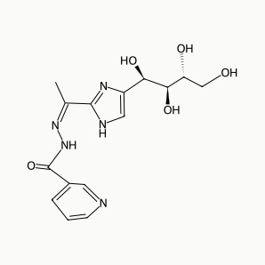 CC(=NNC(=O)c1cccnc1)c1nc([C@@H](O)[C@H](O)[C@H](O)CO)c[nH]1